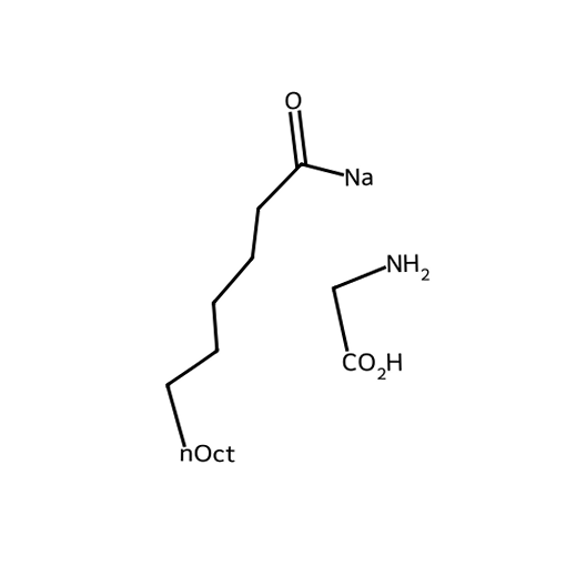 CCCCCCCCCCCCC[C](=O)[Na].NCC(=O)O